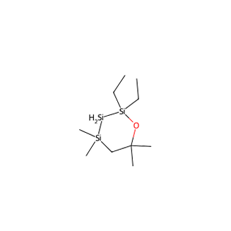 CC[Si]1(CC)OC(C)(C)C[Si](C)(C)[SiH2]1